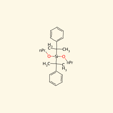 CCCO[Si](OCCC)(C(C)(C)c1ccccc1)C(C)(C)c1ccccc1